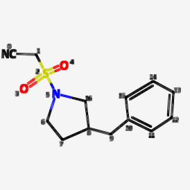 N#CCS(=O)(=O)N1CCC(Cc2ccccc2)C1